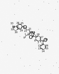 CCc1oc(-c2ccc(C(=O)c3ccccc3)cc2)nc1CCOc1ccc2c(c1)CC[C@@H]2C